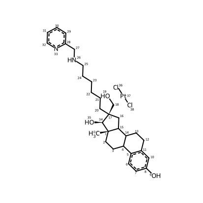 C[C@]12CCC3c4ccc(O)cc4CCC3C1C[C@@](CO)(CCCCCCNCc1ccccn1)[C@@H]2O.[Cl][Pt][Cl]